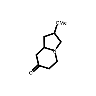 COC1CC2CC(=O)CCN2C1